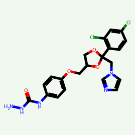 NNC(=O)Nc1ccc(OCC2COC(Cn3ccnc3)(c3ccc(Cl)cc3Cl)O2)cc1